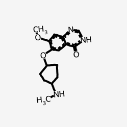 CNC1CCC(Oc2cc3c(=O)[nH]cnc3cc2OC)CC1